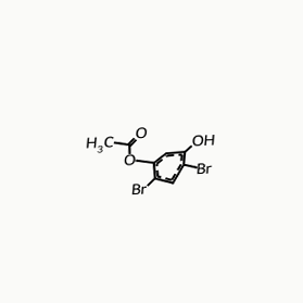 CC(=O)Oc1cc(O)c(Br)cc1Br